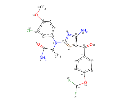 CC(C(N)=O)N(c1ccc(OC(F)(F)F)c(Cl)c1)c1nc(N)c(C(=O)c2ccc(OC(F)F)cc2)s1